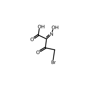 O=C(O)C(=NO)C(=O)CBr